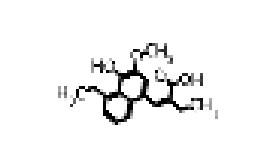 CCC(=Cc1cc(OC)c(O)c2c(CC)cccc12)C(=O)O